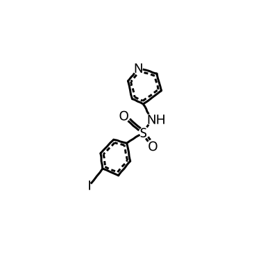 O=S(=O)(Nc1ccncc1)c1ccc(I)cc1